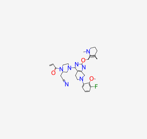 C=CC(=O)N1CCN(c2nc(OC[C@@H]3[C@H](C)CCCN3C)nc3c2CCN(c2cccc(F)c2OC)C3)CC1CC#N